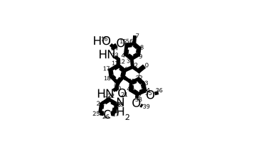 C=CC(c1ccc(C)cc1)c1c(CNC(=O)O)ccc(C(=O)Nc2ccccc2N)c1-c1ccc(OC)c(OC)c1